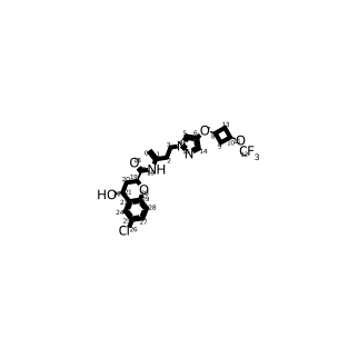 C=C(CCn1cc(O[C@H]2C[C@@H](OC(F)(F)F)C2)cn1)NC(=O)[C@@H]1C[C@@H](O)c2cc(Cl)ccc2O1